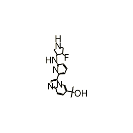 CC(C)(O)c1ccc2ncc(-c3cccc(NC4CNCC4F)n3)n2c1